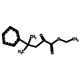 CCOC(=O)C(=O)CC(C)(C)c1ccccc1